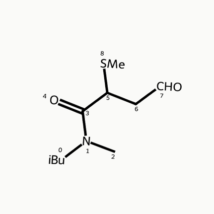 CCC(C)N(C)C(=O)C(CC=O)SC